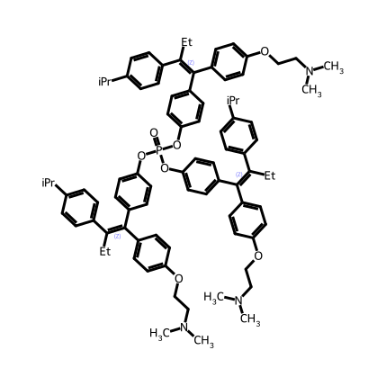 CC/C(=C(\c1ccc(OCCN(C)C)cc1)c1ccc(OP(=O)(Oc2ccc(/C(=C(/CC)c3ccc(C(C)C)cc3)c3ccc(OCCN(C)C)cc3)cc2)Oc2ccc(/C(=C(/CC)c3ccc(C(C)C)cc3)c3ccc(OCCN(C)C)cc3)cc2)cc1)c1ccc(C(C)C)cc1